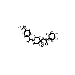 CC(c1ccc(N)cc1)N1CCC(O)(CC(=O)c2ccccc2)CC1